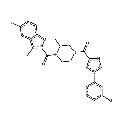 Cc1c(C(=O)N2CCN(C(=O)c3ncn(-c4cccc(Cl)c4)n3)CC2C)oc2ccc(F)cc12